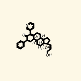 C[C@]12CC[C@H]3[C@@H](CCC4=C(c5cccnc5)C(=O)C(c5ccccc5)C[C@@H]43)[C@@H]1CC[C@@]2(O)/C=C\CO